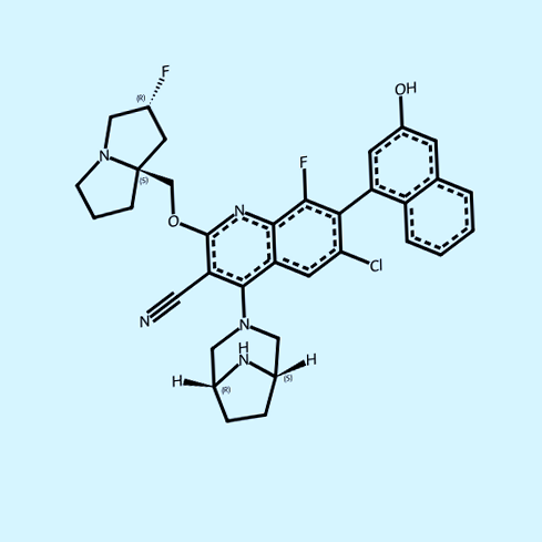 N#Cc1c(OC[C@@]23CCCN2C[C@H](F)C3)nc2c(F)c(-c3cc(O)cc4ccccc34)c(Cl)cc2c1N1C[C@H]2CC[C@@H](C1)N2